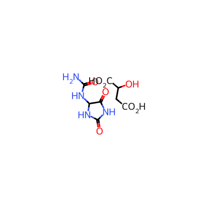 NC(=O)NC1NC(=O)NC1=O.O=C(O)CC(O)C(=O)O